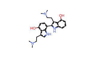 CN(C)CCc1c(-c2ccc(O)c3c(CCN(C)C)c[nH]c23)[nH]c2cccc(O)c12